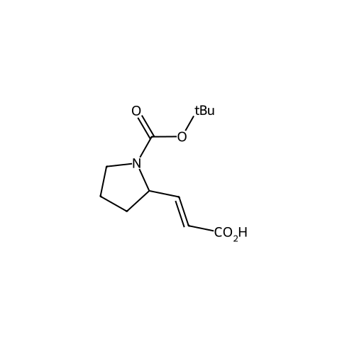 CC(C)(C)OC(=O)N1CCCC1C=CC(=O)O